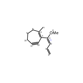 C=C/C=C(/OC)C1=C(C)CCCC#C1